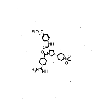 CCOC(=O)c1ccc(NC(=O)[C@@H]2C[C@H](C3CCN(S(C)(=O)=O)CC3)CN2C(=O)C2CCN(C(=N)N)CC2)cc1